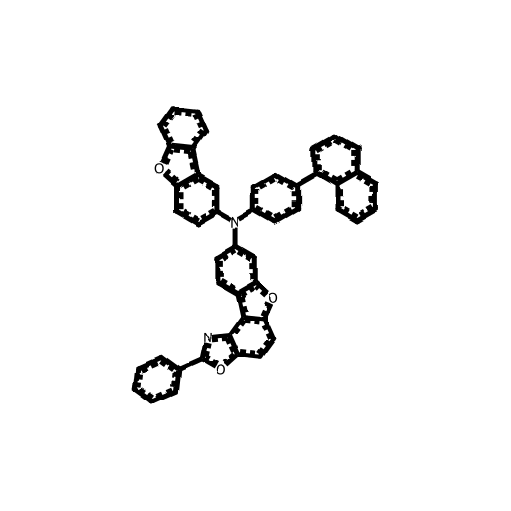 c1ccc(-c2nc3c(ccc4oc5cc(N(c6ccc(-c7cccc8ccccc78)cc6)c6ccc7oc8ccccc8c7c6)ccc5c43)o2)cc1